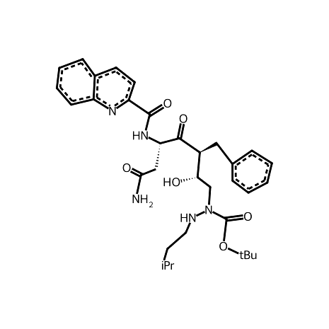 CC(C)CCNN(C[C@H](O)[C@H](Cc1ccccc1)C(=O)[C@H](CC(N)=O)NC(=O)c1ccc2ccccc2n1)C(=O)OC(C)(C)C